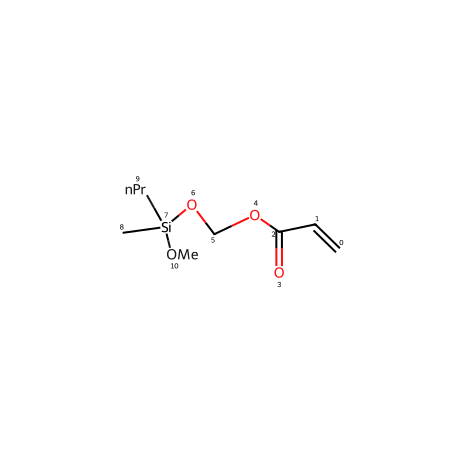 C=CC(=O)OCO[Si](C)(CCC)OC